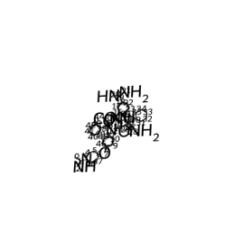 CC(=N)N1CCC(Oc2ccc(N(Cc3nc4cc(C(=N)N)ccc4n3C(C(N)=O)C3CCCCC3)C(=O)c3ccccc3C(=O)O)cc2)CC1